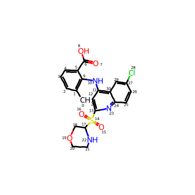 Cc1cccc(C(=O)O)c1Nc1cc(S(=O)(=O)C2COCCN2)nc2ccc(Cl)cc12